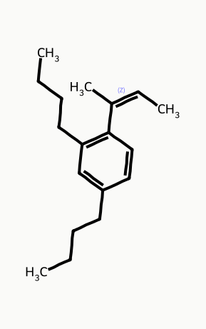 C/C=C(/C)c1ccc(CCCC)cc1CCCC